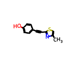 Cc1csc(C#Cc2ccc(O)cc2)n1